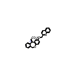 O=C(O)/C=C1/c2ccccc2COc2ccc(OCc3ccc4ccccc4n3)cc21